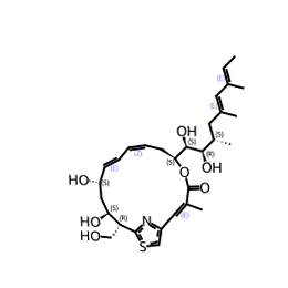 C/C=C(C)/C=C(\C)C[C@H](C)[C@@H](O)[C@H](O)[C@@H]1C/C=C\C=C\[C@@H](O)C[C@H](O)[C@@H](CO)c2nc(cs2)/C=C(\C)C(=O)O1